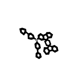 c1ccc(-c2ccc(N(c3ccc(-c4ccccc4)cc3)c3ccc4c(c3)C3(CCC5(CC3)c3ccccc3-c3ccccc35)c3ccccc3-4)cc2)cc1